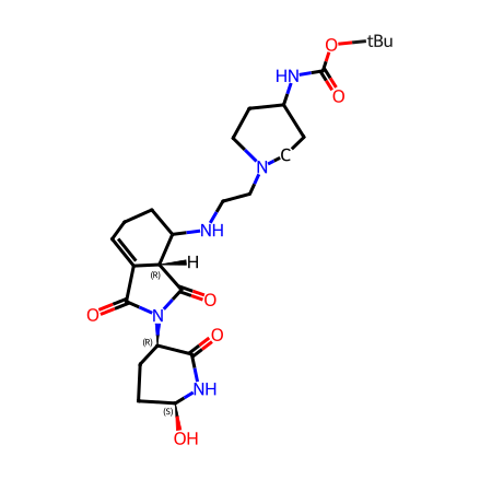 CC(C)(C)OC(=O)NC1CCN(CCNC2CCC=C3C(=O)N([C@@H]4CC[C@H](O)NC4=O)C(=O)[C@H]32)CC1